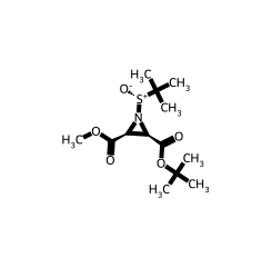 COC(=O)[C@@H]1[C@H](C(=O)OC(C)(C)C)N1[S@+]([O-])C(C)(C)C